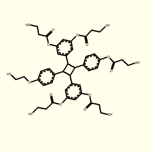 O=C(CCS)Oc1ccc(C2C(c3cc(OC(=O)CCS)cc(OC(=O)CCS)c3)C(c3ccc(OCCS)cc3)C2c2cc(OC(=O)CCS)cc(OC(=O)CCS)c2)cc1